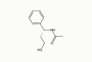 CC(=O)N[C@H](CCO)c1ccccc1